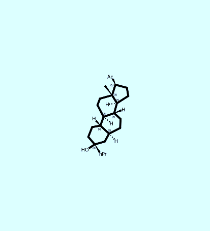 CCC[C@@]1(O)CC[C@H]2[C@@H](CC[C@@H]3[C@@H]2CC[C@]2(C)[C@@H](C(C)=O)CC[C@@H]32)C1